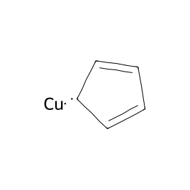 [CH]1C=CC=C1.[Cu]